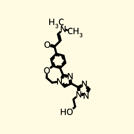 CN(C)C=CC(=O)c1ccc2c(c1)OCCn1cc(-c3ncnn3CCO)nc1-2